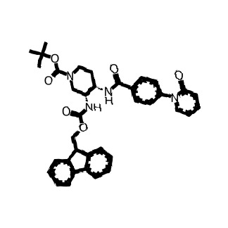 CC(C)(C)OC(=O)N1CC[C@H](NC(=O)c2ccc(-n3ccccc3=O)cc2)[C@H](NC(=O)OCC2c3ccccc3-c3ccccc32)C1